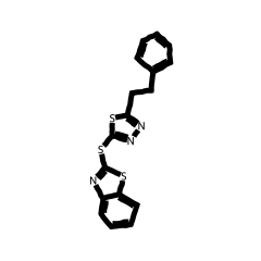 c1ccc(CCc2nnc(Sc3nc4ccccc4s3)s2)cc1